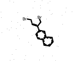 BrC/C=C(\CBr)c1ccc2ccccc2c1